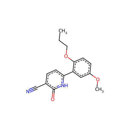 CCCOc1ccc(OC)cc1-c1ccc(C#N)c(=O)[nH]1